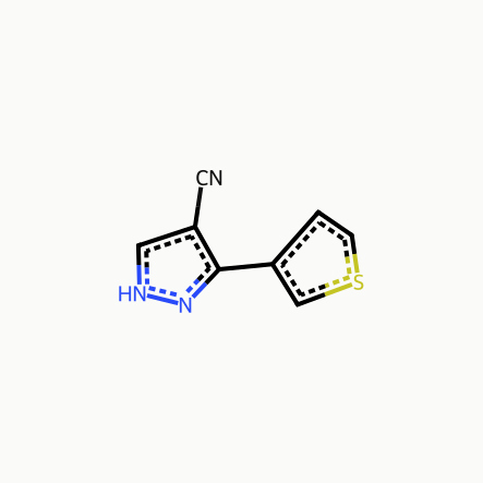 N#Cc1c[nH]nc1-c1ccsc1